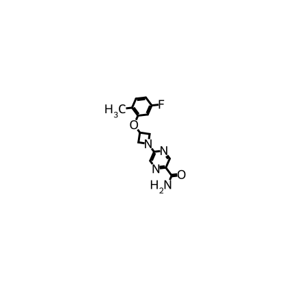 Cc1ccc(F)cc1OC1CN(c2cnc(C(N)=O)cn2)C1